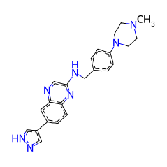 CN1CCN(c2ccc(CNc3cnc4cc(-c5cn[nH]c5)ccc4n3)cc2)CC1